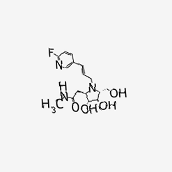 CNC(=O)C[C@@H]1[C@@H](O)[C@H](O)[C@@H](CO)N1C/C=C/c1ccc(F)nc1